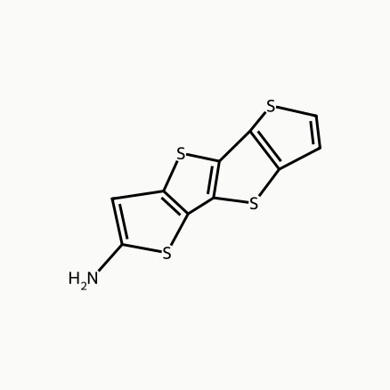 Nc1cc2sc3c4sccc4sc3c2s1